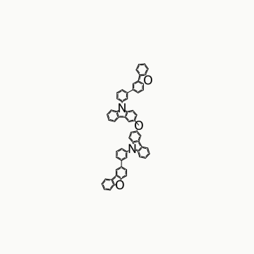 c1cc(-c2ccc3oc4ccccc4c3c2)cc(-n2c3ccccc3c3cc(Oc4ccc5c(c4)c4ccccc4n5-c4cccc(-c5ccc6oc7ccccc7c6c5)c4)ccc32)c1